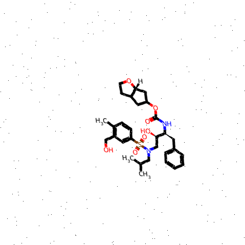 Cc1ccc(S(=O)(=O)N(CC(C)C)C[C@@H](O)[C@H](Cc2ccccc2)NC(=O)OC2CC3CCO[C@@H]3C2)cc1CO